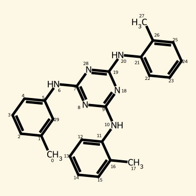 Cc1cccc(Nc2nc(Nc3ccccc3C)nc(Nc3ccccc3C)n2)c1